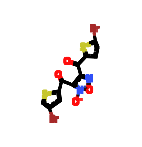 O=C(c1ccc(Br)s1)c1no[n+]([O-])c1C(=O)c1cc(Br)cs1